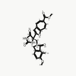 COC(=O)C1=C=Cc2cc([C@]3(CN4Cc5ccc(OC)c(F)c5C4=O)NC(=O)NC3=O)oc2C=C1